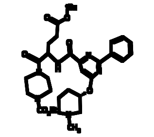 CCOC(=O)N1CCN(C(=O)C(CCC(=O)OC(C)(C)C)NC(=O)c2cc(O[C@H]3CCCN(C)C3)nc(-c3ccccc3)n2)CC1